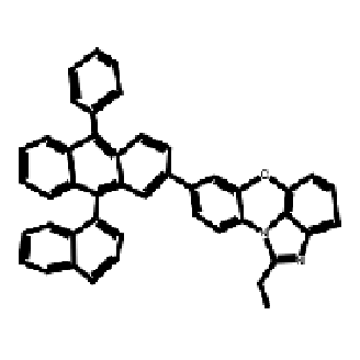 CCc1nc2cccc3c2n1-c1ccc(-c2ccc4c(-c5ccccc5)c5ccccc5c(-c5cccc6ccccc56)c4c2)cc1O3